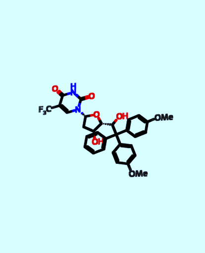 COc1ccc(C(c2ccccc2)(c2ccc(OC)cc2)C(O)[C@H]2O[C@@H](n3cc(C(F)(F)F)c(=O)[nH]c3=O)C[C@@H]2O)cc1